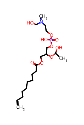 C=CCCCCCCCC(=O)OCC(COP(=O)(O)OCCN(C)CO)OC(C)O